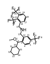 COC(c1ccc(C(F)(F)F)cc1CNCc1cccc(C(F)(F)F)c1C(F)(F)F)C1CCCCC1